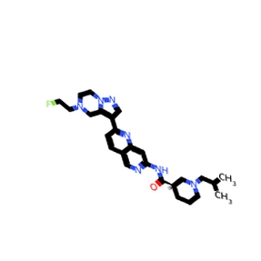 CC(C)CN1CCC[C@@H](C(=O)Nc2cc3nc(-c4cnn5c4CN(CCF)CC5)ccc3cn2)C1